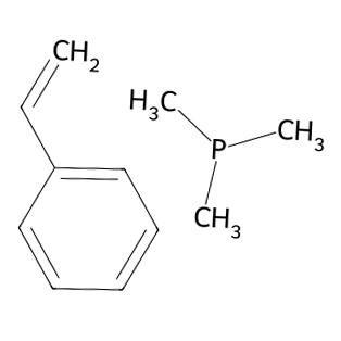 C=Cc1ccccc1.CP(C)C